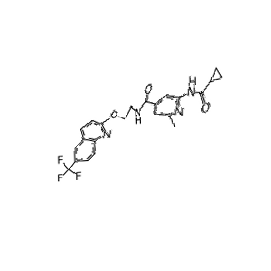 Cc1cc(C(=O)NCCOc2ccc3cc(C(F)(F)F)ccc3n2)cc(NC(=O)C2CC2)n1